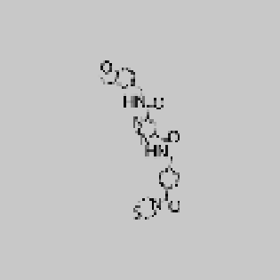 O=C(NCc1ccc(C(=O)N2CCSCC2)cc1)c1cc(C(=O)NCc2ccc3c(c2)CCO3)ncn1